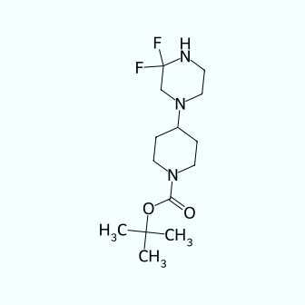 CC(C)(C)OC(=O)N1CCC(N2CCNC(F)(F)C2)CC1